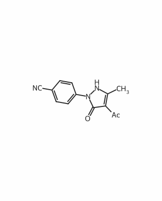 CC(=O)c1c(C)[nH]n(-c2ccc(C#N)cc2)c1=O